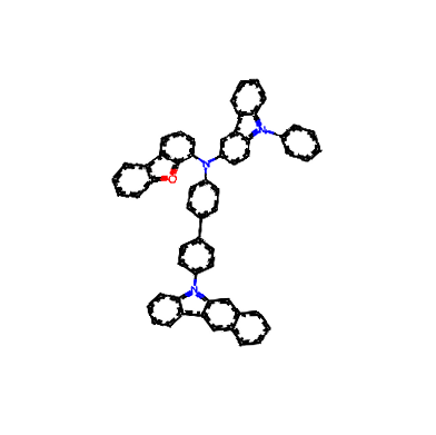 c1ccc(-n2c3ccccc3c3cc(N(c4ccc(-c5ccc(-n6c7ccccc7c7cc8ccccc8cc76)cc5)cc4)c4cccc5c4oc4ccccc45)ccc32)cc1